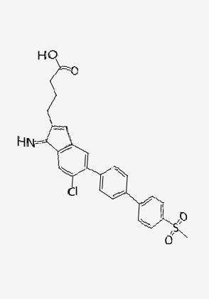 CS(=O)(=O)c1ccc(-c2ccc(-c3cc4c(cc3Cl)C(=N)C(CCCC(=O)O)=C4)cc2)cc1